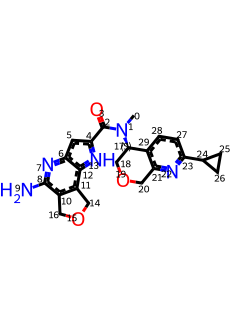 CN(C(=O)c1cc2nc(N)c3c(c2[nH]1)COC3)[C@@H]1COCc2nc(C3CC3)ccc21